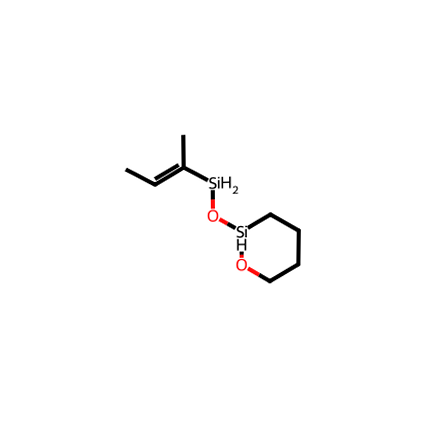 CC=C(C)[SiH2]O[SiH]1CCCCO1